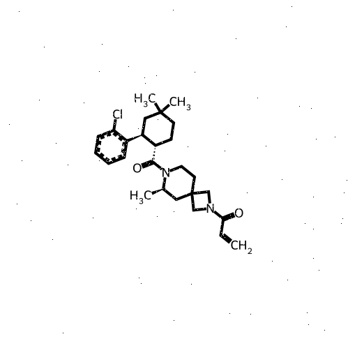 C=CC(=O)N1CC2(CCN(C(=O)[C@H]3CCC(C)(C)C[C@@H]3c3ccccc3Cl)[C@H](C)C2)C1